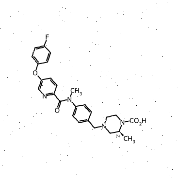 C[C@H]1CN(Cc2ccc(N(C)C(=O)c3ccc(Oc4ccc(F)cc4)cn3)cc2)CCN1C(=O)O